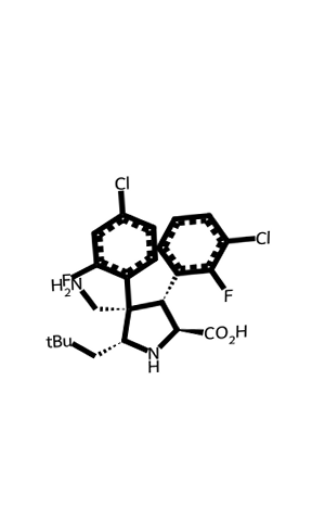 CC(C)(C)C[C@H]1N[C@H](C(=O)O)[C@@H](c2cccc(Cl)c2F)[C@]1(CN)c1ccc(Cl)cc1F